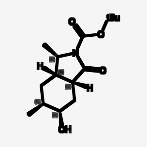 C[C@@H]1[C@H]2C[C@H](C)[C@H](O)C[C@H]2C(=O)N1C(=O)OC(C)(C)C